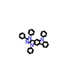 c1ccc(-c2nc3c(c4cc5c(cc4n3-c3ccccc3)c3ccccc3n5-c3ccccc3)n2-c2ccccc2)cc1